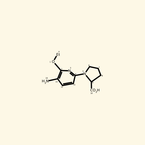 CCOc1nc(N2CCCC2C(=O)O)ccc1N